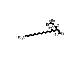 CCCCC(CC)COC(=O)C(CC(CC)CCCC)CC(CCCCCCCCCCCCC(=O)O)C(C)C